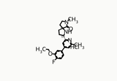 CCOc1cc(-c2cc(C)nc([C@@H]3CC[C@]4(CCN(C)C4=O)N3)c2)ccc1F.Cl